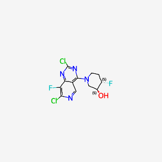 O[C@H]1CN(c2nc(Cl)nc3c(F)c(Cl)ncc23)CC[C@@H]1F